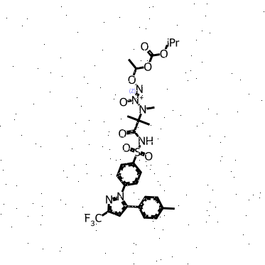 Cc1ccc(-c2cc(C(F)(F)F)nn2-c2ccc(S(=O)(=O)NC(=O)C(C)(C)N(C)/[N+]([O-])=N/OC(C)OC(=O)OC(C)C)cc2)cc1